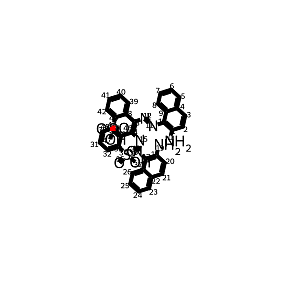 Nc1ccc2ccccc2c1N=NC(=C(N=Nc1c(N)ccc2ccccc12)c1ccccc1S(=O)(=O)O)c1ccccc1S(=O)(=O)O